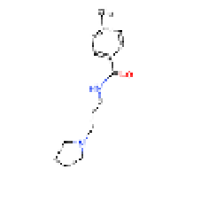 Cc1ccc(C(=O)NCCCN2C[CH]CC2)cc1